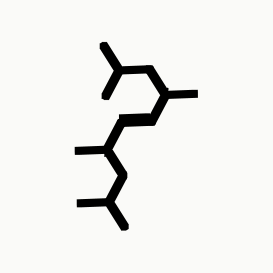 C[C](C=C[C](C)CC(C)C)CC(C)C